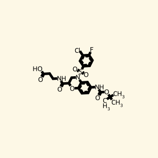 CC(C)(C)OC(=O)Nc1ccc2c(c1)N(S(=O)(=O)c1ccc(F)c(Cl)c1)CC(C(=O)NCCC(=O)O)O2